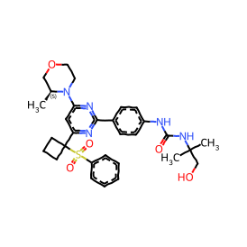 C[C@H]1COCCN1c1cc(C2(S(=O)(=O)c3ccccc3)CCC2)nc(-c2ccc(NC(=O)NC(C)(C)CO)cc2)n1